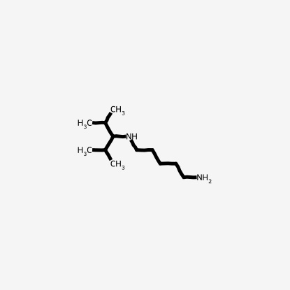 CC(C)C(NCCCCCN)C(C)C